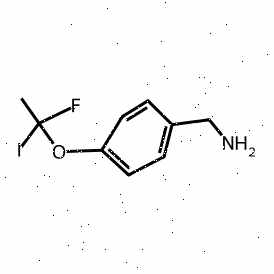 CC(F)(I)Oc1ccc(CN)cc1